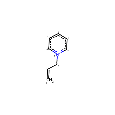 C=CC[n+]1[c]cccc1